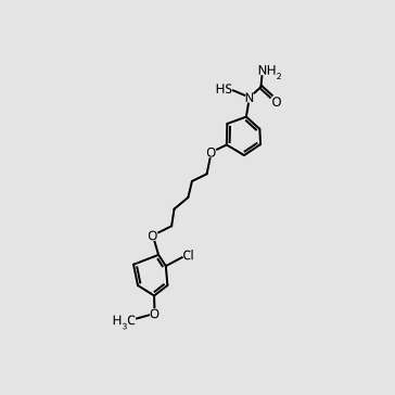 COc1ccc(OCCCCCOc2cccc(N(S)C(N)=O)c2)c(Cl)c1